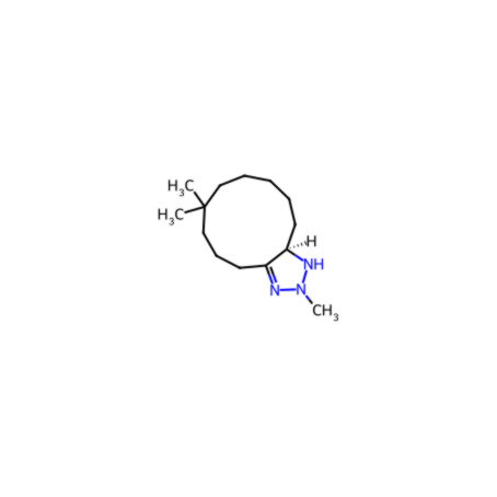 CN1N=C2CCCC(C)(C)CCCCC[C@H]2N1